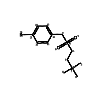 C[N+](C)(C)CCS(=O)(=O)Cc1ccc(Br)cc1